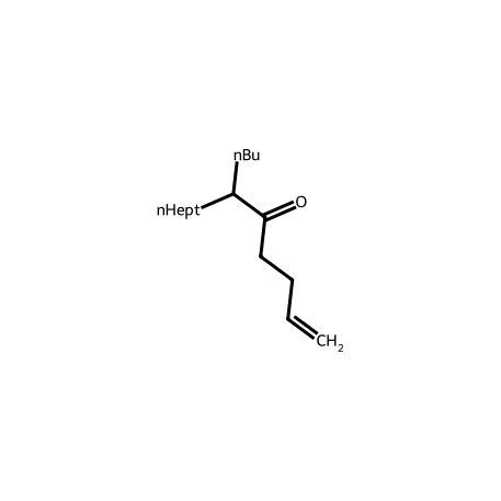 C=CCCC(=O)C(CCCC)CCCCCCC